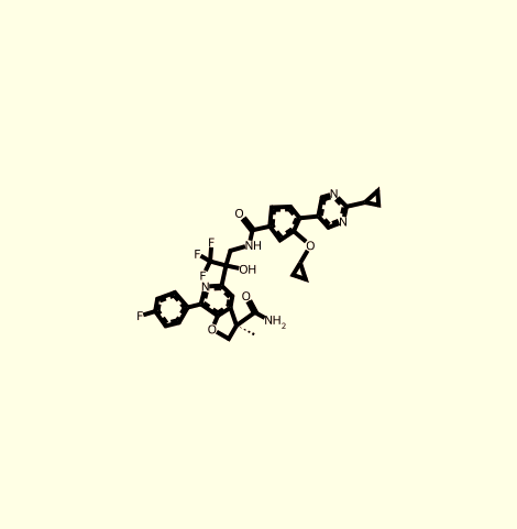 C[C@]1(C(N)=O)COc2c1cc(C(O)(CNC(=O)c1ccc(-c3cnc(C4CC4)nc3)c(OC3CC3)c1)C(F)(F)F)nc2-c1ccc(F)cc1